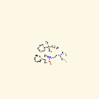 CCC(CC)(C(=O)NCCN(C)C)c1ccccc1.CCC(CC)(C(=O)O)c1ccccc1